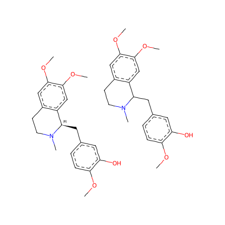 COc1ccc(CC2c3cc(OC)c(OC)cc3CCN2C)cc1O.COc1ccc(C[C@@H]2c3cc(OC)c(OC)cc3CCN2C)cc1O